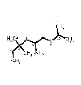 CCC(C)(C)CC(N)CNC(C)C